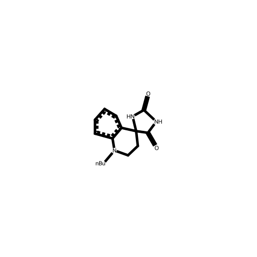 CCCCN1CCC2(NC(=O)NC2=O)c2ccccc21